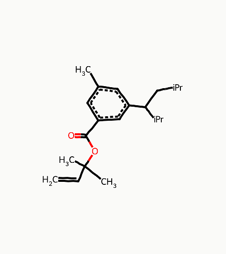 C=CC(C)(C)OC(=O)c1cc(C)cc(C(CC(C)C)C(C)C)c1